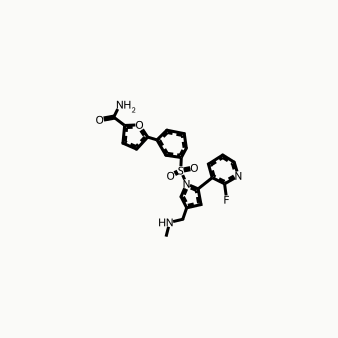 CNCc1cc(-c2cccnc2F)n(S(=O)(=O)c2cccc(-c3ccc(C(N)=O)o3)c2)c1